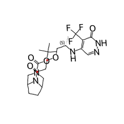 C[C@@H](COCCC(=O)N1C2CCC1CN(C(=O)OC(C)(C)C)C2)Nc1cn[nH]c(=O)c1C(F)(F)F